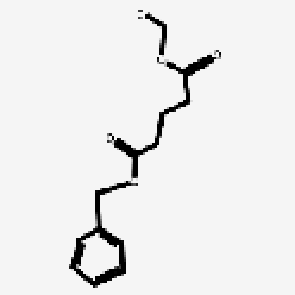 O=C(CCCC(=O)OCc1ccccc1)OCCl